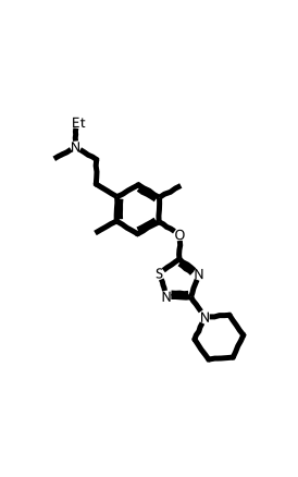 CCN(C)CCc1cc(C)c(Oc2nc(N3CCCCC3)ns2)cc1C